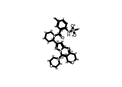 Cc1ccc(NS(C)(=O)=O)c(C(=O)N2CCCCC2c2cc3nc4c(c(N5CCOCC5)n3n2)COCC4)c1